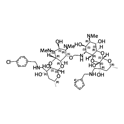 CN[C@@H]1[C@H](O)[C@H](NCO[C@H]2[C@H](NC)[C@H](O)[C@H](NC)[C@H]3O[C@]4(O)[C@H](O[C@@H]32)O[C@H](C)C[C@@]4(O)CNCc2ccc(Cl)cc2)[C@H]2O[C@]3(O)[C@H](O[C@@H]2[C@H]1O)O[C@H](C)C[C@@]3(O)CNCc1cccs1